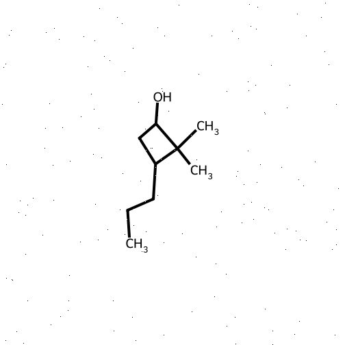 CCCC1CC(O)C1(C)C